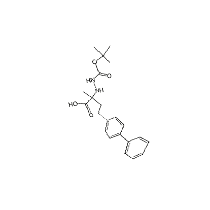 CC(C)(C)OC(=O)NNC(C)(CCc1ccc(-c2ccccc2)cc1)C(=O)O